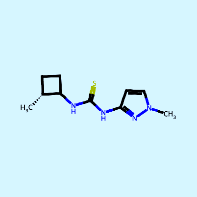 C[C@@H]1CCC1NC(=S)Nc1ccn(C)n1